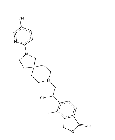 Cc1c(C(Cl)CN2CCC3(CC2)CCN(c2ccc(C#N)cn2)C3)ccc2c1COC2=O